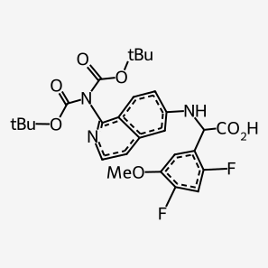 COc1cc(C(Nc2ccc3c(N(C(=O)OC(C)(C)C)C(=O)OC(C)(C)C)nccc3c2)C(=O)O)c(F)cc1F